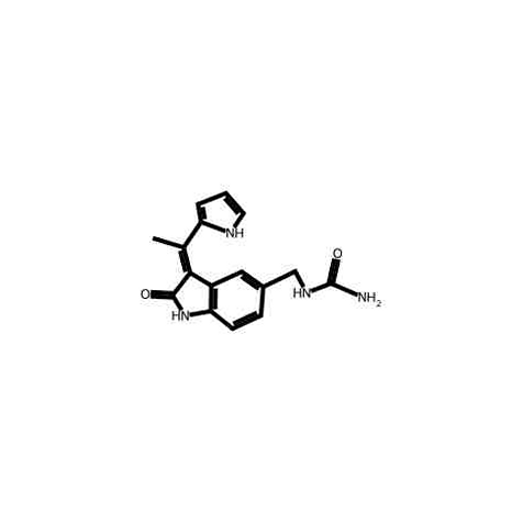 C/C(=C1\C(=O)Nc2ccc(CNC(N)=O)cc21)c1ccc[nH]1